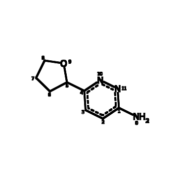 Nc1ccc(C2CCCO2)nn1